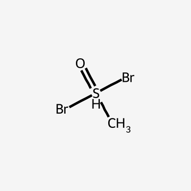 C[SH](=O)(Br)Br